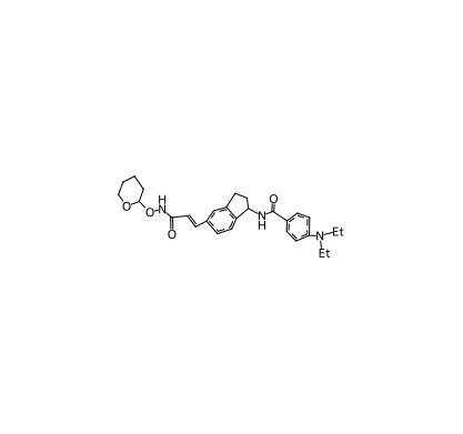 CCN(CC)c1ccc(C(=O)NC2CCc3cc(C=CC(=O)NOC4CCCCO4)ccc32)cc1